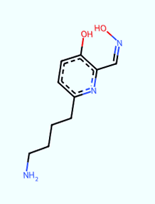 NCCCCc1ccc(O)c(/C=N\O)n1